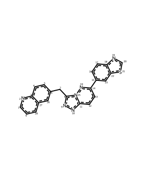 c1cnc2ccc(Cc3nnc4ccc(-c5ccc6ncsc6c5)nn34)cc2c1